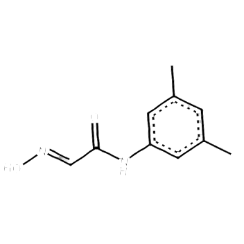 Cc1cc(C)cc(NC(=O)C=NO)c1